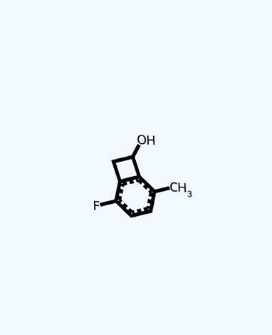 Cc1ccc(F)c2c1C(O)C2